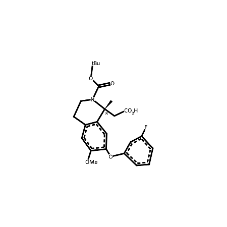 COc1cc2c(cc1Oc1cccc(F)c1)[C@@](C)(CC(=O)O)N(C(=O)OC(C)(C)C)CC2